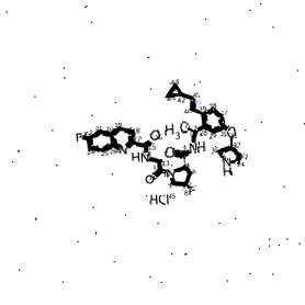 C[C@H](NC(=O)[C@@H]1C[C@@H](F)CN1C(=O)CNC(=O)c1ccc2cc(F)ccc2n1)c1cc(O[C@H]2CCNC2)ccc1/C=C/C1CC1.Cl